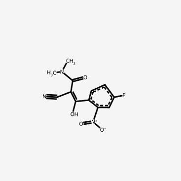 CN(C)C(=O)C(C#N)=C(O)c1ccc(F)cc1[N+](=O)[O-]